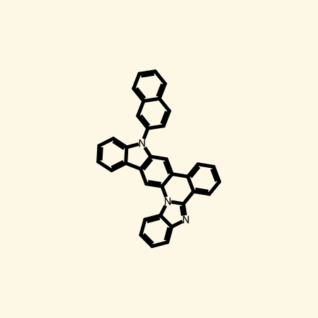 c1ccc2cc(-n3c4ccccc4c4cc5c(cc43)c3ccccc3c3nc4ccccc4n53)ccc2c1